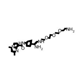 Cc1cc(C)n2ccc(C(=O)Nc3ccc(/C(N)=C/NCCOCCOCCOCCN)cc3)c2n1